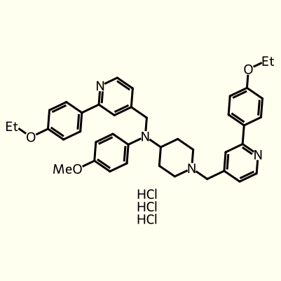 CCOc1ccc(-c2cc(CN3CCC(N(Cc4ccnc(-c5ccc(OCC)cc5)c4)c4ccc(OC)cc4)CC3)ccn2)cc1.Cl.Cl.Cl